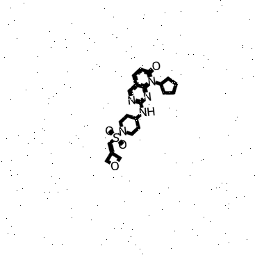 O=c1ccc2cnc(NC3CCN(S(=O)(=O)C=C4COC4)CC3)nc2n1C1CCCC1